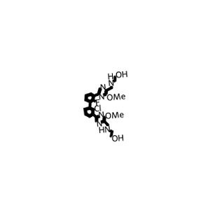 COc1nc(-c2cccc(-c3cccc(-c4cnc(CNCCO)c(OC)n4)c3Cl)c2F)cnc1CNCCO